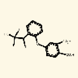 O=C(O)c1ccc(Oc2ccccc2C(F)C(F)(F)C(F)(F)F)cc1C(=O)O